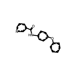 O=C(Nc1ccc(Oc2ccccc2)cc1)c1cccnc1